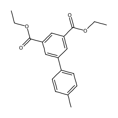 CCOC(=O)c1cc(C(=O)OCC)cc(-c2ccc(C)cc2)c1